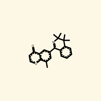 Cc1cc(C2=NC(C)(C)C(C)(C)c3ccccc32)cc2c(=O)ccoc12